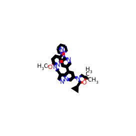 COc1ccc(CN2C3CC2CN(c2ccc(-c4cc(N5CC(C)(C)OC5C5CC5)cn5ncc(C#N)c45)cn2)C3)cn1